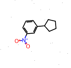 O=[N+]([O-])c1cccc(C2CCCC2)c1